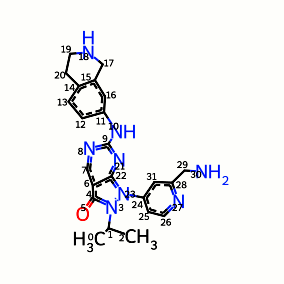 CC(C)n1c(=O)c2cnc(Nc3ccc4c(c3)CNCC4)nc2n1-c1ccnc(CN)c1